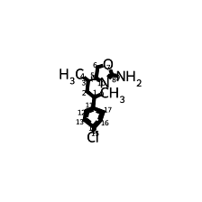 CC(CC(C)[C@H]1COC(N)=N1)c1ccc(Cl)cc1